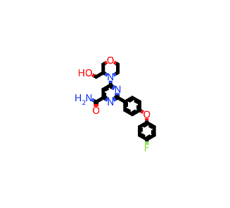 NC(=O)c1cc(N2CCOCC2CO)nc(-c2ccc(Oc3ccc(F)cc3)cc2)n1